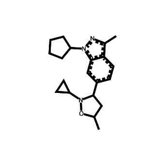 Cc1nn(C2CCCC2)c2cc(C3CC(C)ON3C3CC3)ccc12